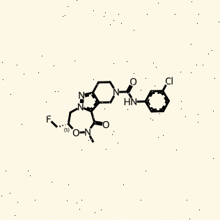 CN1O[C@H](CF)Cn2nc3c(c2C1=O)CN(C(=O)Nc1cccc(Cl)c1)CC3